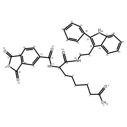 CC(=O)CCCCCC(NC(=O)c1ccc2c(c1)C(=O)OC2=O)C(=O)NCCc1c(-c2ccccc2)[nH]c2ccccc12